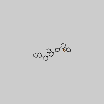 c1cc(-c2ccc3ccccc3c2)cc(-c2ccc(-c3ccc(-c4cccc5c4sc4ccccc45)cc3)c3ccccc23)c1